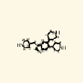 c1c(C2CCNCC2)c(C2CCNCC2)cc2c1ncn2CC1CCNCC1